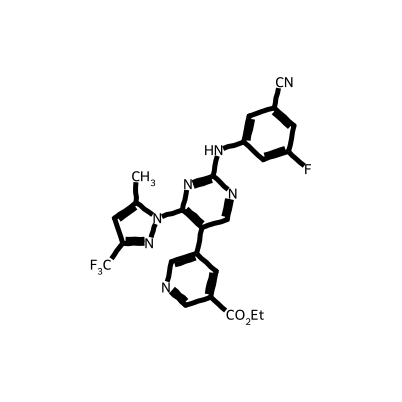 CCOC(=O)c1cncc(-c2cnc(Nc3cc(F)cc(C#N)c3)nc2-n2nc(C(F)(F)F)cc2C)c1